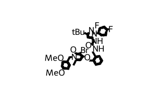 COc1ccc(Cn2c(C)cc(OCc3ccccc3CNC(=O)Nc3cc(C(C)(C)C)nn3-c3ccc(F)cc3F)c(Br)c2=O)c(OC)c1